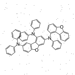 c1ccc(N(c2ccccc2)c2ccc3oc4cc(N(c5ccccc5)c5cccc6oc7ccccc7c56)cc(N(c5ccccc5)c5ccccc5)c4c3c2)cc1